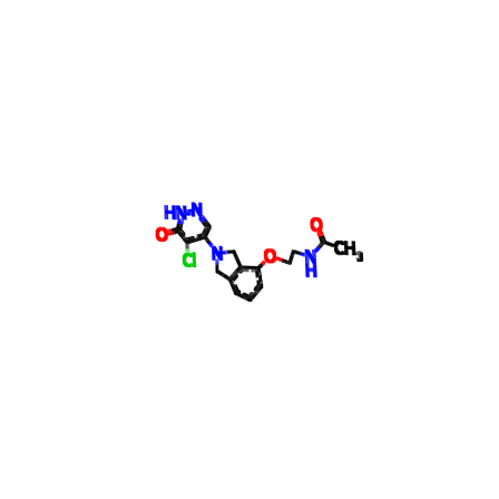 CC(=O)NCCOc1cccc2c1CN(c1cn[nH]c(=O)c1Cl)C2